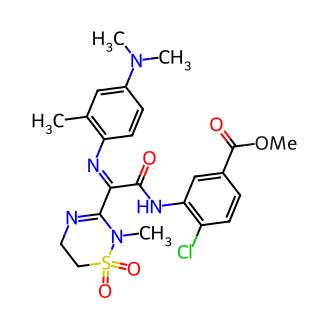 COC(=O)c1ccc(Cl)c(NC(=O)/C(=N\c2ccc(N(C)C)cc2C)C2=NCCS(=O)(=O)N2C)c1